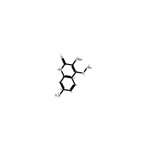 CCCCOc1c(OC)c(=O)[nH]c2cc([N+](=O)[O-])ccc12